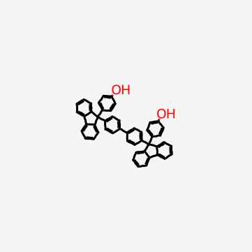 Oc1ccc(C2(c3ccc(-c4ccc(C5(c6ccc(O)cc6)c6ccccc6-c6ccccc65)cc4)cc3)c3ccccc3-c3ccccc32)cc1